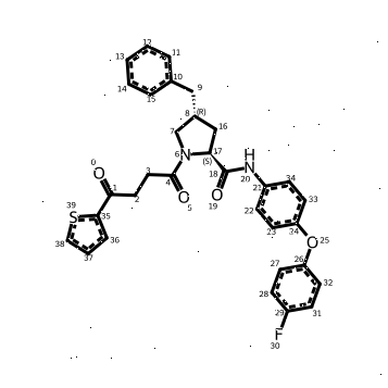 O=C(CCC(=O)N1C[C@H](Cc2ccccc2)C[C@H]1C(=O)Nc1ccc(Oc2ccc(F)cc2)cc1)c1cccs1